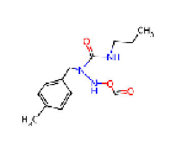 CCCNC(=O)N(Cc1ccc(C)cc1)NOC=O